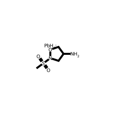 CS(=O)(=O)N1CC(N)CO1.[PbH2]